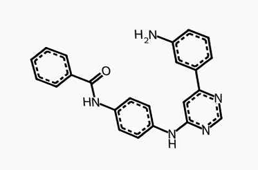 Nc1cccc(-c2cc(Nc3ccc(NC(=O)c4ccccc4)cc3)ncn2)c1